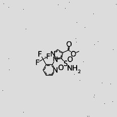 COC(=O)c1cnn(-c2ncccc2C(F)(F)F)c1S(N)(=O)=O